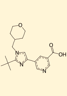 CC(C)(C)c1nc(-c2cncc(C(=O)O)c2)cn1CC1CCOCC1